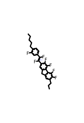 CCCCCc1ccc(/C(F)=C(\F)c2cc3c(c(F)c2F)-c2c(cc(CCC)c(F)c2F)C3)cc1F